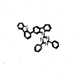 C1=CCC(c2nc(-c3ccccc3)nc(-n3c4ccccc4c4ccc(-c5cccc6c5sc5ccccc56)cc43)n2)C=C1